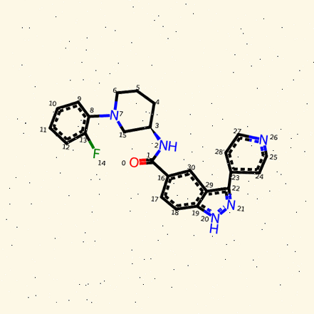 O=C(N[C@@H]1CCCN(c2ccccc2F)C1)c1ccc2[nH]nc(-c3ccncc3)c2c1